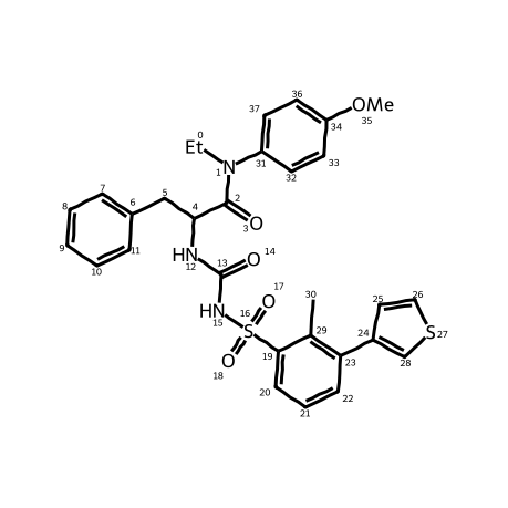 CCN(C(=O)C(Cc1ccccc1)NC(=O)NS(=O)(=O)c1cccc(-c2ccsc2)c1C)c1ccc(OC)cc1